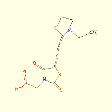 CCN1CCSC1=C=C=C1SC(=S)N(CC(=O)O)C1=O